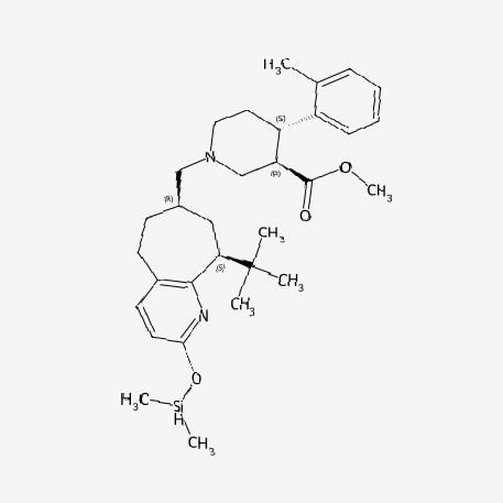 COC(=O)[C@H]1CN(C[C@@H]2CCc3ccc(O[SiH](C)C)nc3[C@H](C(C)(C)C)C2)CC[C@@H]1c1ccccc1C